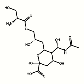 CC(=O)N[C@@H](O)C1C(O)CC(O)(C(=O)O)OC1C[C@H](O)COC(=O)[C@@H](N)CO